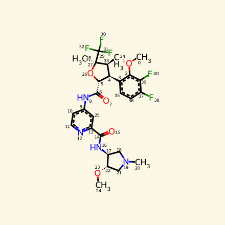 COc1c([C@H]2[C@H](C(=O)Nc3ccnc(C(=O)N[C@H]4CN(C)C[C@@H]4OC)c3)O[C@@](C)(C(F)(F)F)[C@H]2C)ccc(F)c1F